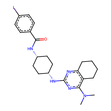 CN(C)c1nc(N[C@H]2CC[C@@H](NC(=O)c3ccc(I)cc3)CC2)nc2c1CCCC2